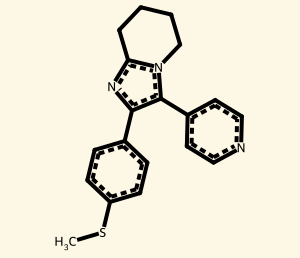 CSc1ccc(-c2nc3n(c2-c2ccncc2)CCCC3)cc1